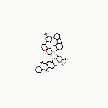 Cc1cc2c3c(c1)N(c1ccc(C(C)(C)C)cc1-c1ccccc1)c1c(ccc4oc5ccccc5c14)B3c1cc3c(cc1N2c1cc2c(cc1C)C(C)(C)c1ccccc1C2(C)C)C(C)(C)CC3(C)C